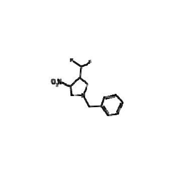 O=[N+]([O-])C1CN(Cc2ccccc2)CC1C(F)F